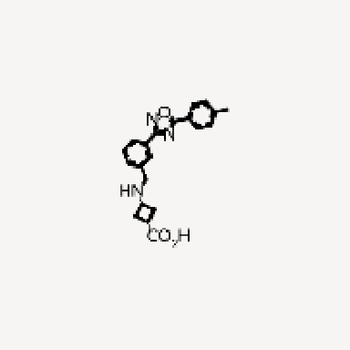 Cc1ccc(-c2nc(-c3cccc(CN[C@H]4C[C@@H](C(=O)O)C4)c3)no2)cc1